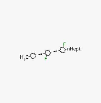 CCCCCCCc1ccc(C#Cc2ccc(C#Cc3ccc(C)cc3)c(F)c2)cc1F